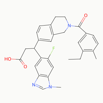 CCc1cc(C(=O)N2CCc3ccc(C(CC(=O)O)c4cc5ncn(C)c5cc4F)cc3C2)ccc1C